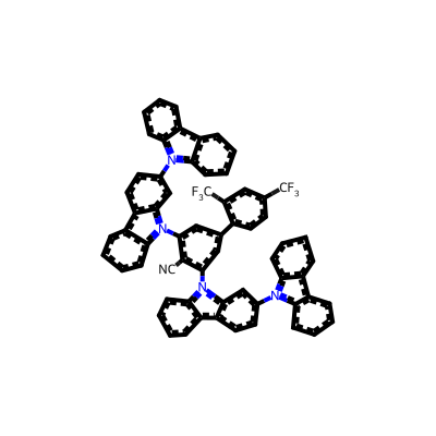 N#Cc1c(-n2c3ccccc3c3ccc(-n4c5ccccc5c5ccccc54)cc32)cc(-c2ccc(C(F)(F)F)cc2C(F)(F)F)cc1-n1c2ccccc2c2ccc(-n3c4ccccc4c4ccccc43)cc21